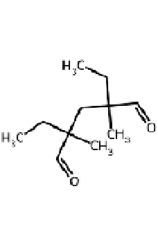 CCC(C)(C=O)CC(C)(C=O)CC